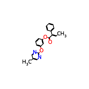 CC=C(C(=O)Oc1cccc(Oc2ncc(C)cn2)c1)c1ccccc1